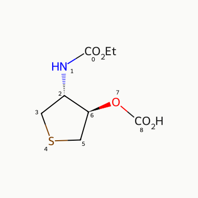 CCOC(=O)N[C@H]1CSC[C@@H]1OC(=O)O